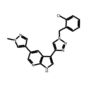 Cn1cc(-c2cnc3[nH]cc(-c4cn(Cc5ccccc5Cl)nn4)c3c2)cn1